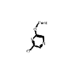 CCCC(C)Oc1cncc(Cl)n1